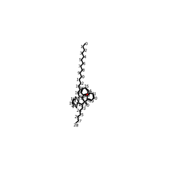 CCCCCCCCCCCCCCCCCn1ccnc1C(CCCCCC)C(C)(Cc1ccccc1)c1ccccc1